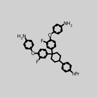 CCCc1ccc(C2CCC(c3ccc(Oc4ccc(N)cc4)c(F)c3)(c3ccc(Oc4ccc(N)cc4)c(F)c3)CC2)cc1